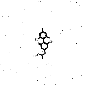 CCSC(C)CC1CC(=O)C(c2c(C)cc(C)cc2CC)=C(O)C1